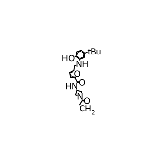 C=CC(=O)N1CC(NC(=O)c2ccc(CNc3cc(C(C)(C)C)ccc3O)o2)C1